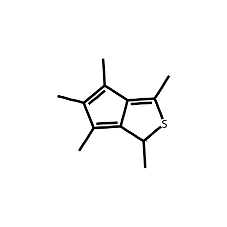 C[C]1SC(C)=C2C(C)=C(C)C(C)=C12